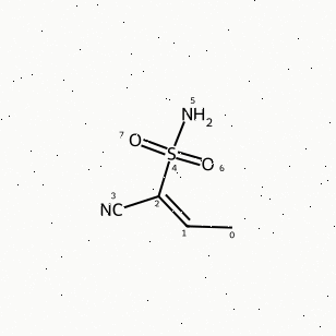 CC=C(C#N)S(N)(=O)=O